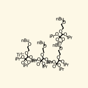 CCCCOCCOC(OC(C)C)C([O-])(OC(C)C)OC(C)C.CCCCOCCOC(OC(C)C)C([O-])(OC(C)C)OC(C)C.CCCCOCCOC(OC(C)C)C([O-])(OC(C)C)OC(C)C.CCCCOCCOC(OC(C)C)C([O-])(OC(C)C)OC(C)C.[Ti+4]